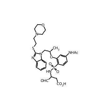 CC(=O)Nc1ccc(S(=O)(=O)NC(C=O)CC(=O)O)c(O[C@H](C)Cn2c(SCCN3CCOCC3)nc3ccccc32)c1